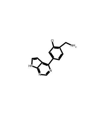 NCc1ccc(-c2ncnc3[nH]ccc23)cc1Cl